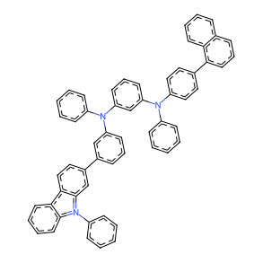 c1ccc(N(c2ccc(-c3cccc4ccccc34)cc2)c2cccc(N(c3ccccc3)c3cccc(-c4ccc5c6ccccc6n(-c6ccccc6)c5c4)c3)c2)cc1